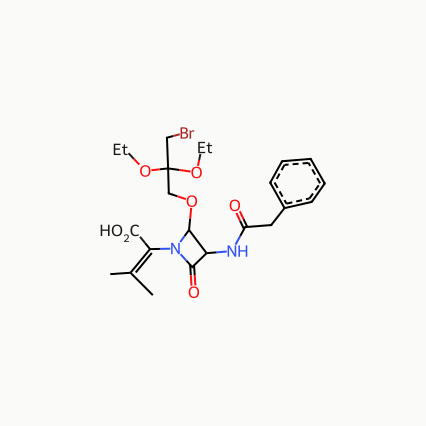 CCOC(CBr)(COC1C(NC(=O)Cc2ccccc2)C(=O)N1C(C(=O)O)=C(C)C)OCC